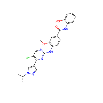 COc1cc(C(=O)Nc2ccccc2O)ccc1Nc1ncc(Cl)c(-c2cnn(C(C)C)c2)n1